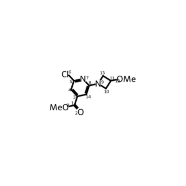 COC(=O)c1cc(Cl)nc(N2CC(OC)C2)c1